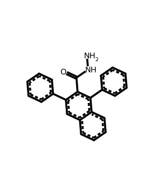 NNC(=O)c1c(-c2ccccc2)cc2ccccc2c1-c1ccccc1